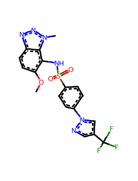 COc1ccc2nnn(C)c2c1NS(=O)(=O)c1ccc(-n2cc(C(F)(F)F)cn2)cc1